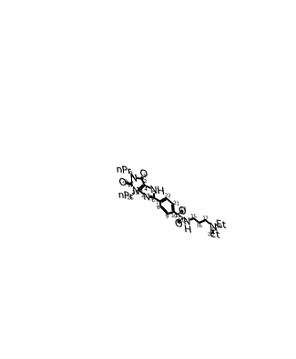 CCCn1c(=O)c2[nH]c(-c3ccc(S(=O)(=O)NCCCN(CC)CC)cc3)nc2n(CCC)c1=O